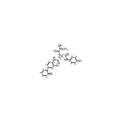 CCCN(C)C(=O)C1[C@@H](C(=O)Nc2ccc(-n3ccccc3=O)cc2F)[C@H]1C(=O)Nc1ccc(Cl)cc1